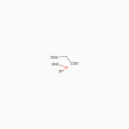 O=C([O-])CC(=O)[O-].O=C[O-].[Tl+3]